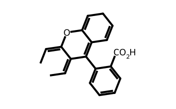 C/C=C1/C(c2ccccc2C(=O)O)=C2C=CCC=C2O/C1=C/C